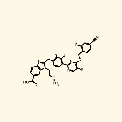 COCCn1c(Cc2ccc(-c3ncc(F)c(OCc4ccc(C#N)cc4F)n3)c(F)c2F)nc2ccc(C(=O)O)cc21